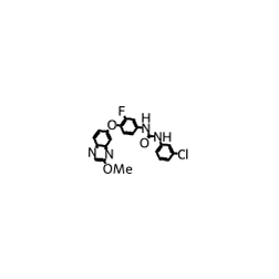 COc1cnc2ccc(Oc3ccc(NC(=O)Nc4cccc(Cl)c4)cc3F)cc2n1